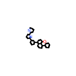 c1ccc(-c2cccc(-c3cccc(-c4ccc5c6c(cccc46)-c4ccccc4O5)c3)n2)nc1